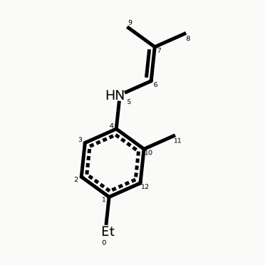 CCc1ccc(NC=C(C)C)c(C)c1